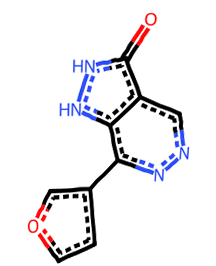 O=c1[nH][nH]c2c(-c3ccoc3)nncc12